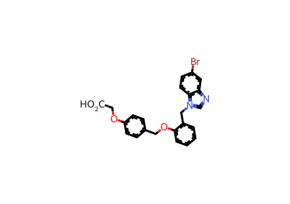 O=C(O)COc1ccc(COc2ccccc2Cn2cnc3cc(Br)ccc32)cc1